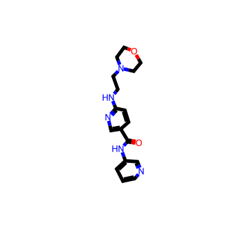 O=C(Nc1cccnc1)c1ccc(NCCN2CCOCC2)nc1